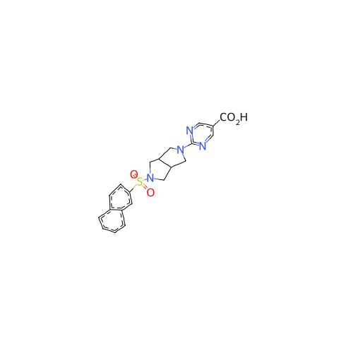 O=C(O)c1cnc(N2CC3CN(S(=O)(=O)c4ccc5ccccc5c4)CC3C2)nc1